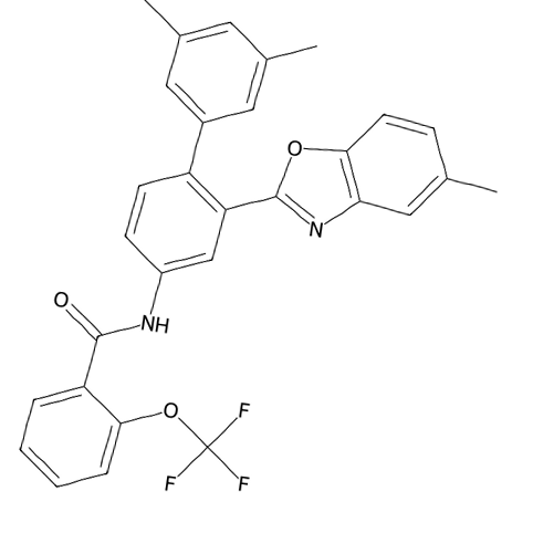 Cc1cc(C)cc(-c2ccc(NC(=O)c3ccccc3OC(F)(F)F)cc2-c2nc3cc(C)ccc3o2)c1